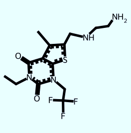 CCn1c(=O)c2c(C)c(CNCCN)sc2n(CC(F)(F)F)c1=O